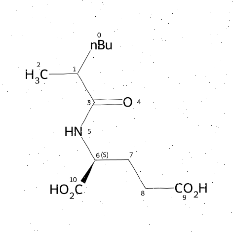 CCCCC(C)C(=O)N[C@@H](CCC(=O)O)C(=O)O